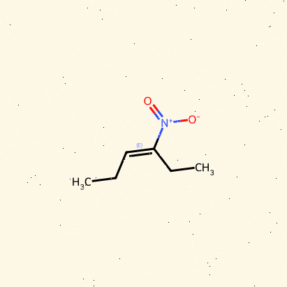 CC/C=C(\CC)[N+](=O)[O-]